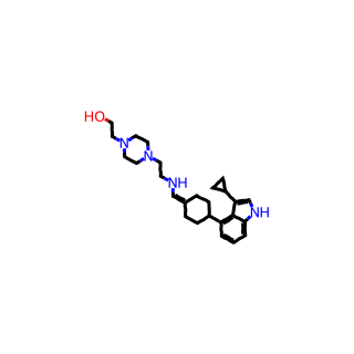 OCCN1CCN(CCNC=C2CCC(c3cccc4[nH]cc(C5CC5)c34)CC2)CC1